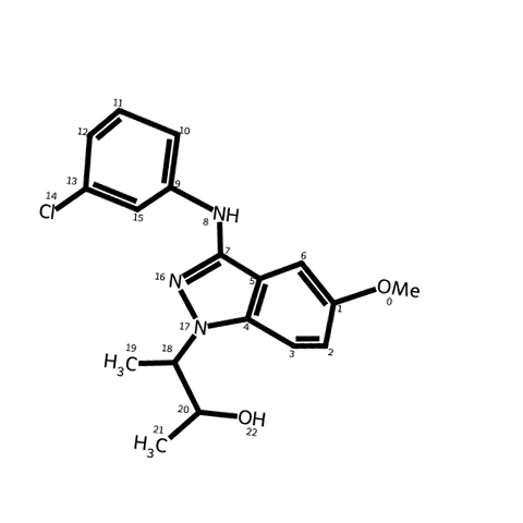 COc1ccc2c(c1)c(Nc1cccc(Cl)c1)nn2C(C)C(C)O